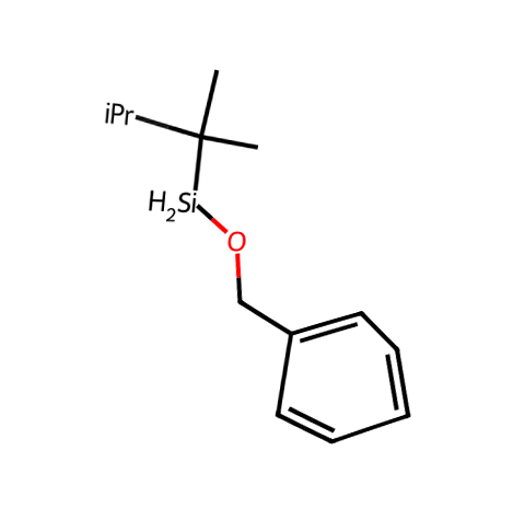 CC(C)C(C)(C)[SiH2]OCc1ccccc1